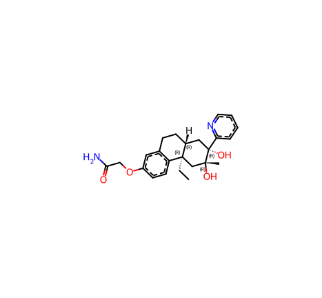 CC[C@@]12C[C@@](C)(O)[C@](O)(c3ccccn3)C[C@H]1CCc1cc(OCC(N)=O)ccc12